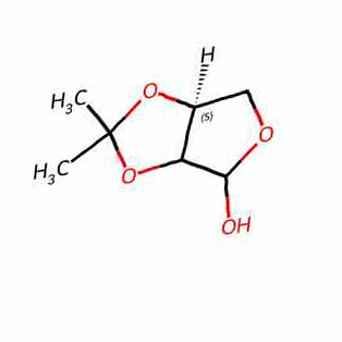 CC1(C)OC2C(O)OC[C@@H]2O1